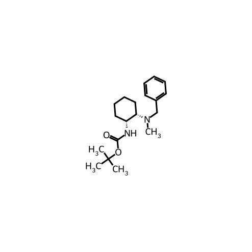 CN(Cc1ccccc1)[C@H]1CCCC[C@H]1NC(=O)OC(C)(C)C